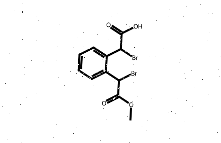 COC(=O)C(Br)c1ccccc1C(Br)C(=O)O